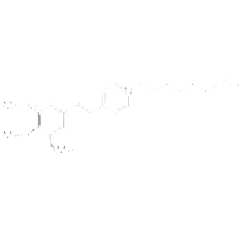 CCCCCCCCCCCCCCCC[n+]1ccc(/C=C/c2cc(OC)c(OC)c(OC)c2)cc1